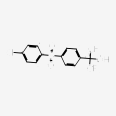 O=S(=O)(c1ccc(Cl)cc1)c1ccc(C(O)(C(F)(F)F)C(F)(F)F)cc1